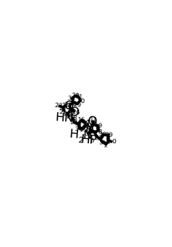 Cc1ccc(C(=P)c2ccc(=O)n(-c3ccc(CCN[C@@H](CC(C)C)C(=O)OC4CCCCC4)cc3)c2N)cc1